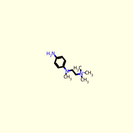 CN(CC[N+](C)(C)C)c1ccc(N)cc1